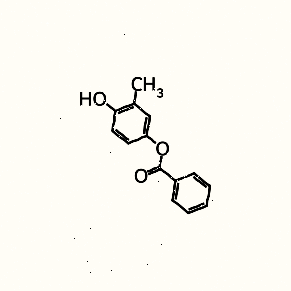 Cc1cc(OC(=O)c2ccccc2)ccc1O